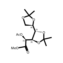 COC(=O)[C@@H](OC(C)=O)[C@@H]1OC(C)(C)O[C@H]1[C@H]1COC(C)(C)O1